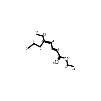 CCC/C(=C\C=C\C(=O)OCC)CC